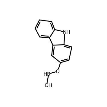 OBOc1ccc2[nH]c3ccccc3c2c1